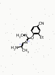 C=N/C(=N\C=C(/C)N)Oc1ccc(C#N)cc1CC